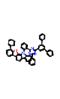 c1ccc(-c2cc(-c3ccccc3)cc(-c3nc(-c4ccccc4)nc(-c4ccccc4-n4c5ccccc5c5ccc6c7cccc(-c8ccccc8)c7oc6c54)n3)c2)cc1